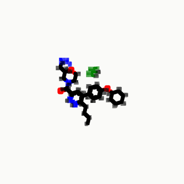 CCCCc1nnc(C(=O)N2CCOC(CN)C2)cc1-c1ccc(OC2CCCCC2)cc1.Cl.Cl